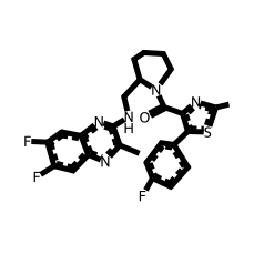 Cc1nc(C(=O)N2CCCCC2CNc2nc3cc(F)c(F)cc3nc2C)c(-c2ccc(F)cc2)s1